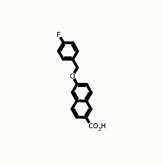 O=C(O)c1ccc2cc(OCc3ccc(F)cc3)ccc2c1